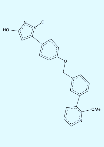 COc1ncccc1-c1cccc(COc2ccc(-c3cc(O)n[s+]3[O-])cc2)c1